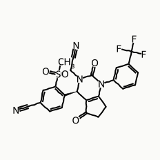 CS(=O)(=O)c1cc(C#N)ccc1[C@@H]1C2=C(CCC2=O)N(c2cccc(C(F)(F)F)c2)C(=O)N1CC#N